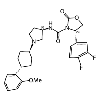 COc1ccccc1[C@H]1CC[C@H](N2CC[C@@H](NC(=O)N3C(=O)OC[C@@H]3c3ccc(F)c(F)c3)C2)CC1